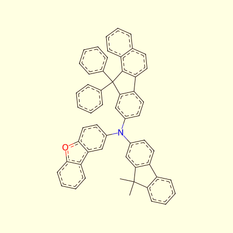 CC1(C)c2ccccc2-c2ccc(N(c3ccc4c(c3)C(c3ccccc3)(c3ccccc3)c3c-4ccc4ccccc34)c3ccc4oc5ccccc5c4c3)cc21